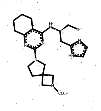 CC(C)C[C@@H](Cc1ncc[nH]1)Nc1nc(N2CCC3(CN(C(=O)O)C3)C2)nc2c1CCCC2